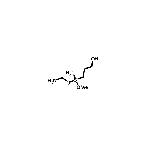 CO[Si](C)(CCCO)OCN